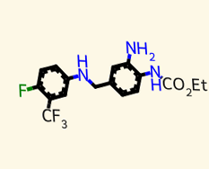 CCOC(=O)Nc1ccc(CNc2ccc(F)c(C(F)(F)F)c2)cc1N